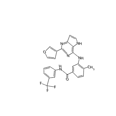 Cc1ccc(C(=O)Nc2cccc(C(F)(F)F)c2)cc1Nc1nc(-c2ccoc2)nc2cc[nH]c12